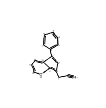 N#CCc1cc(-c2ccccc2)c2cccoc1-2